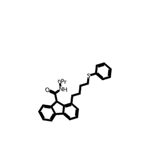 CCCNC(=O)C1c2ccccc2-c2cccc(CCCCSc3ccccc3)c21